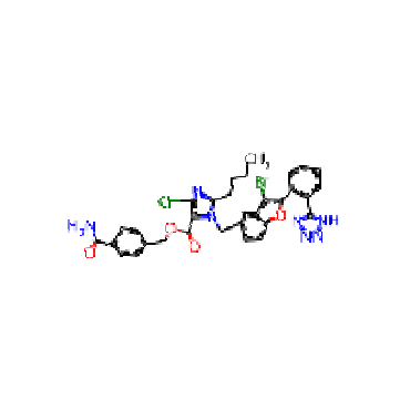 CCCCc1nc(Cl)c(C(=O)OCc2ccc(C(N)=O)cc2)n1Cc1ccc2oc(-c3ccccc3-c3nnn[nH]3)c(Br)c2c1